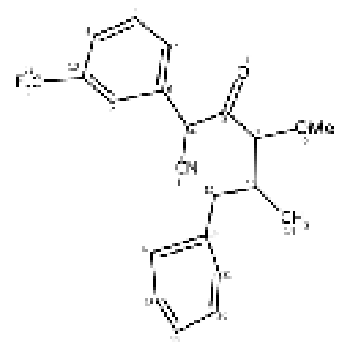 COC(C(=O)C(C#N)c1cccc(C(F)(F)F)c1)C(C)Cc1ccccc1